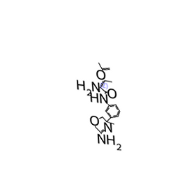 C=C(C)O/C(C)=C(\N)C(=O)Nc1cccc(C2(C)COCC(N)=N2)c1